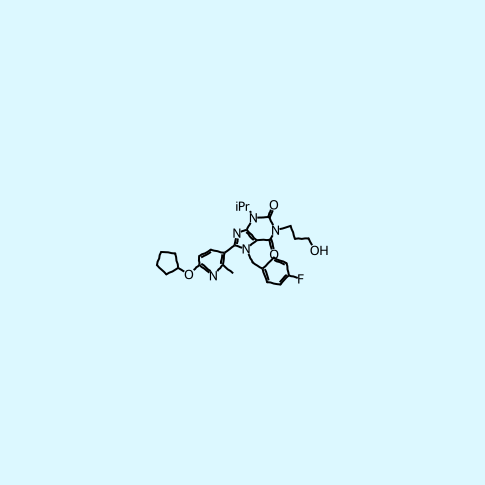 Cc1nc(OC2CCCC2)ccc1-c1nc2c(c(=O)n(CCCO)c(=O)n2C(C)C)n1Cc1ccc(F)cc1